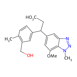 COc1cc(C(CC(=O)O)c2ccc(C)c(CO)c2)cc2nnn(C)c12